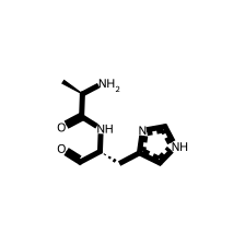 C[C@@H](N)C(=O)N[C@@H]([C]=O)Cc1c[nH]cn1